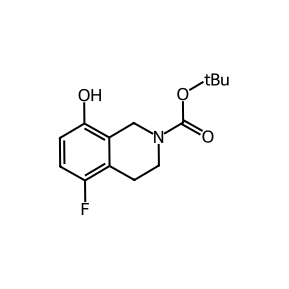 CC(C)(C)OC(=O)N1CCc2c(F)ccc(O)c2C1